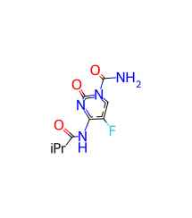 CC(C)C(=O)Nc1nc(=O)n(C(N)=O)cc1F